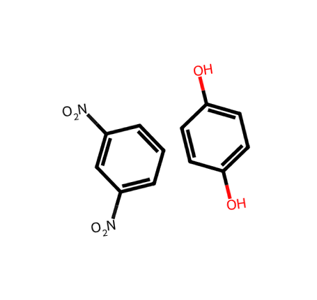 O=[N+]([O-])c1cccc([N+](=O)[O-])c1.Oc1ccc(O)cc1